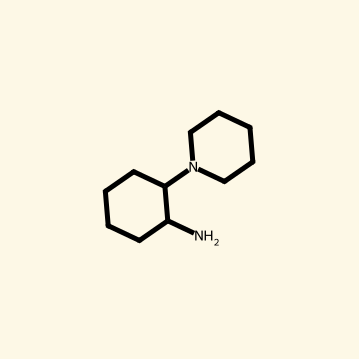 NC1CCCCC1N1CCCCC1